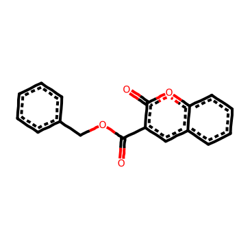 O=C(OCc1ccccc1)c1cc2ccccc2oc1=O